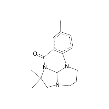 Cc1ccc2c(c1)C(=O)N1C3N(CCCN23)CC1(C)C